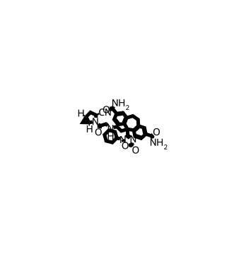 N#C[C@@H]1C[C@@H]2C[C@@H]2N1C(=O)CNCCC1(c2nc(=O)on2C2CCCCC2)c2ccc(C(N)=O)cc2CCc2cc(C(N)=O)ccc21